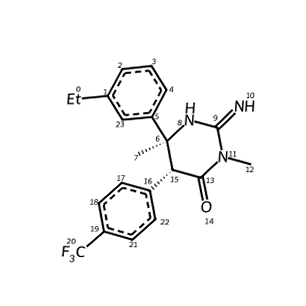 CCc1cccc([C@@]2(C)NC(=N)N(C)C(=O)[C@@H]2c2ccc(C(F)(F)F)cc2)c1